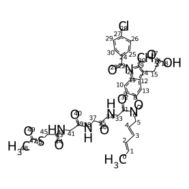 C/C=C/C=C/CN(Oc1ccc2c(c1)c(CC(=O)O)c(C)n2C(=O)c1ccc(Cl)cc1)C(=O)CNC(=O)CNC(=O)CNC(=O)CSC(C)=O